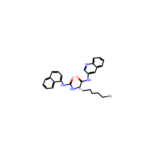 CC(=O)CCCCC[C@H](NC(=O)Nc1cccc2ccccc12)C(=O)Nc1cnc2ccccc2c1